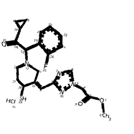 COC(=O)Cn1cnc(/C=C2\CN(C(C(=O)C3CC3)c3ccccc3F)CCC2S)n1.Cl